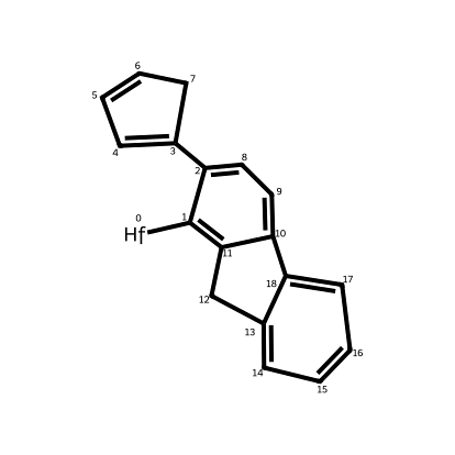 [Hf][c]1c(C2=CC=CC2)ccc2c1Cc1ccccc1-2